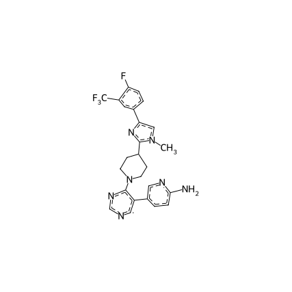 Cn1cc(-c2ccc(F)c(C(F)(F)F)c2)nc1C1CCN(c2ncn[c]c2-c2ccc(N)nc2)CC1